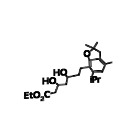 CCOC(=O)CC(O)CC(O)CCc1c(C(C)C)cc(C)c2c1OC(C)(C)C2